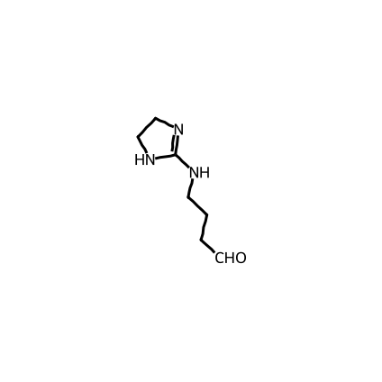 O=CCCCNC1=NCCN1